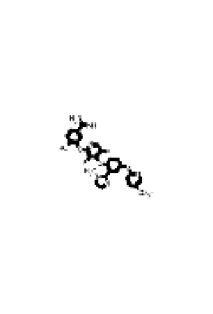 CN1CC=NC1c1cc(Sc2ccc(C(=O)O)cn2)ccc1Oc1c(F)cnc(Oc2cc(C(=N)N)ccc2O)c1F